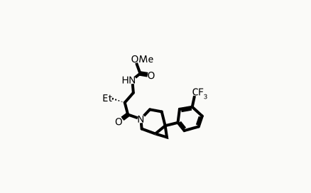 CC[C@H](CNC(=O)OC)C(=O)N1CCC2(c3cccc(C(F)(F)F)c3)CC2C1